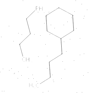 CCCCC1CCCCC1.CCCCP